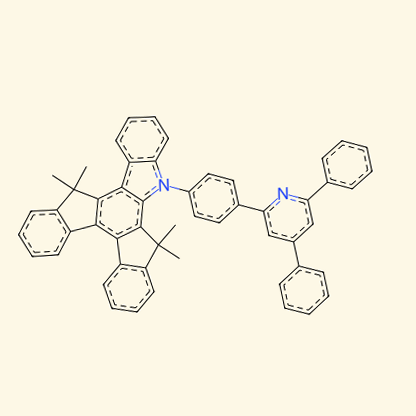 CC1(C)c2ccccc2-c2c3c(c4c(c21)c1ccccc1n4-c1ccc(-c2cc(-c4ccccc4)cc(-c4ccccc4)n2)cc1)C(C)(C)c1ccccc1-3